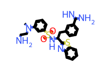 CN(CCN)c1cccc(S(=O)(=O)NC(Cc2cccc(C(=N)N)c2)c2nc3ccccc3s2)c1